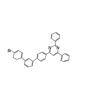 BrC1=CC=C(c2cccc(-c3ccc(-c4cc(-c5ccccc5)nc(-c5ccccc5)n4)cc3)c2)CC1